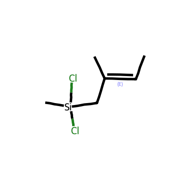 C/C=C(\C)C[Si](C)(Cl)Cl